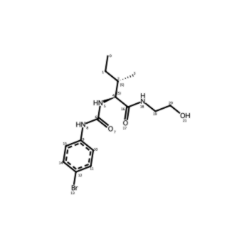 CC[C@H](C)[C@H](NC(=O)Nc1ccc(Br)cc1)C(=O)NCCO